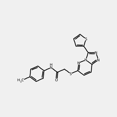 Cc1ccc(NC(=O)CSc2ccc3nnc(-c4cccs4)n3n2)cc1